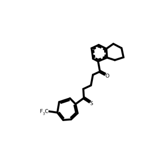 O=C(CCCC(=S)C1=C=CC=C(C(F)(F)F)C=C1)c1cccc2c1CCCC2